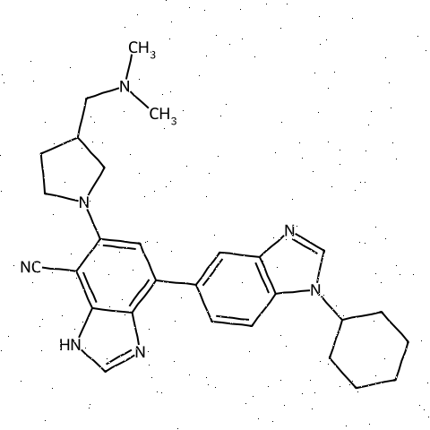 CN(C)CC1CCN(c2cc(-c3ccc4c(c3)ncn4C3CCCCC3)c3nc[nH]c3c2C#N)C1